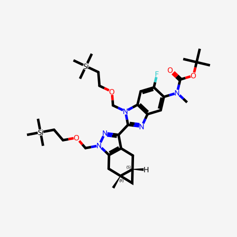 CN(C(=O)OC(C)(C)C)c1cc2nc(-c3nn(COCC[Si](C)(C)C)c4c3C[C@@H]3C[C@]3(C)C4)n(COCC[Si](C)(C)C)c2cc1F